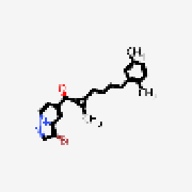 Cc1ccc(C)c(CCCCC2C(C)C2C(=O)c2ccn3ncc(Br)c3c2)c1